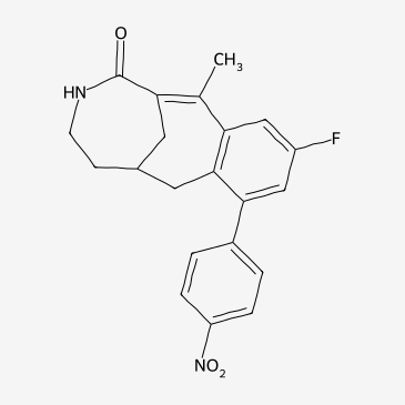 CC1=C2CC(CCNC2=O)Cc2c1cc(F)cc2-c1ccc([N+](=O)[O-])cc1